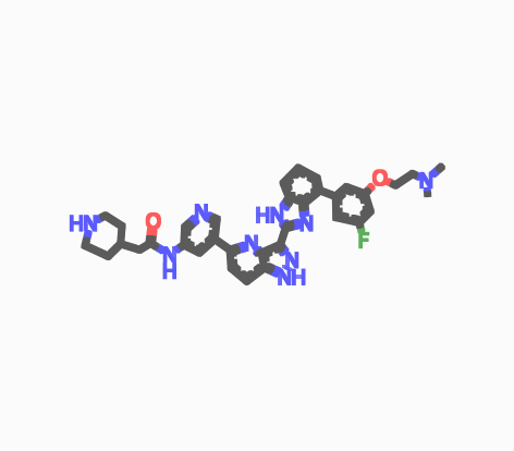 CN(C)CCOc1cc(F)cc(-c2cccc3[nH]c(-c4n[nH]c5ccc(-c6cncc(NC(=O)CC7CCNCC7)c6)nc45)nc23)c1